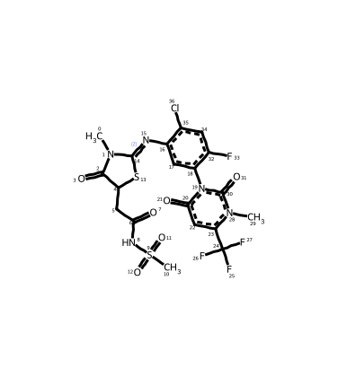 CN1C(=O)C(CC(=O)NS(C)(=O)=O)S/C1=N\c1cc(-n2c(=O)cc(C(F)(F)F)n(C)c2=O)c(F)cc1Cl